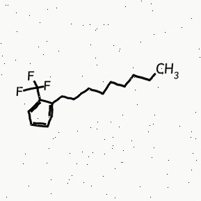 CCCCCCCCCc1ccccc1C(F)(F)F